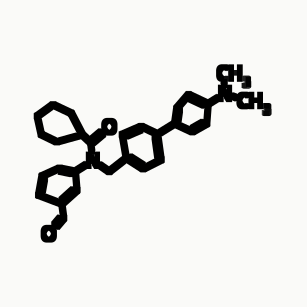 CN(C)c1ccc(-c2ccc(CN(C(=O)C3CCCCC3)c3cccc(C=O)c3)cc2)cc1